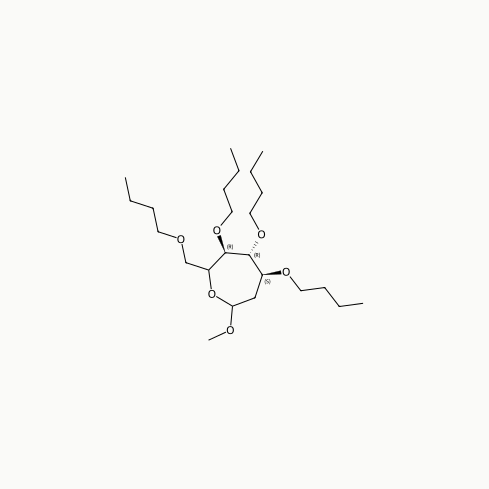 CCCCOCC1OC(OC)C[C@H](OCCCC)[C@@H](OCCCC)[C@@H]1OCCCC